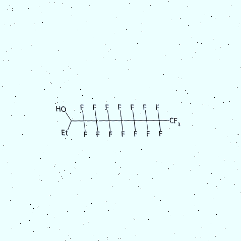 CCC(O)C(F)(F)C(F)(F)C(F)(F)C(F)(F)C(F)(F)C(F)(F)C(F)(F)C(F)(F)F